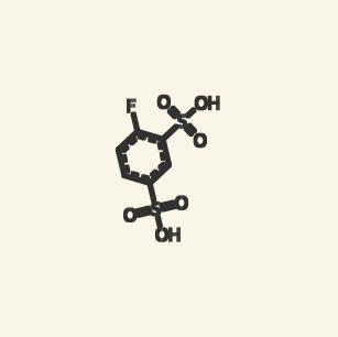 O=S(=O)(O)c1ccc(F)c(S(=O)(=O)O)c1